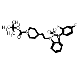 CC(C)(C)OC(=O)N1CCC(CCN2c3ccccc3N(c3ccc(F)cc3F)S2(=O)=O)CC1